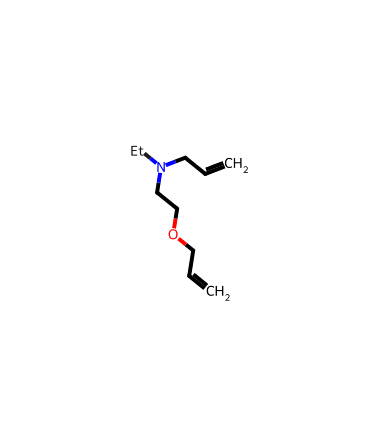 C=CCOCCN(CC)CC=C